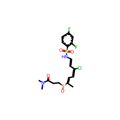 C\C(=C/C=C(Cl)\C=C\NS(=O)(=O)c1ccc(F)cc1F)[S+]([O-])CCC(=O)N(C)C